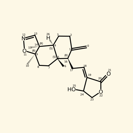 C=C1CC[C@H]2[C@@](C)(CC[C@@]3(C)ON=C[C@@]23C)[C@@H]1CC=C1C(=O)OCC1O